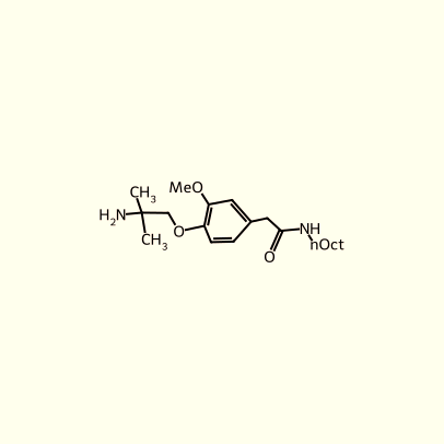 CCCCCCCCNC(=O)Cc1ccc(OCC(C)(C)N)c(OC)c1